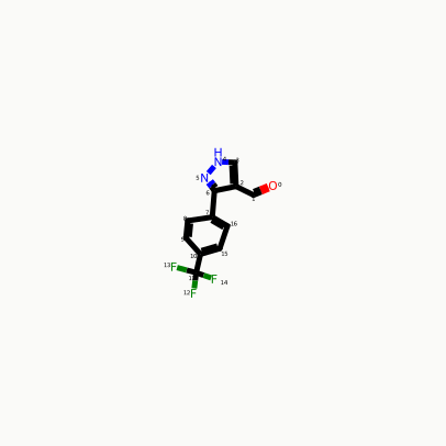 O=Cc1c[nH]nc1-c1ccc(C(F)(F)F)cc1